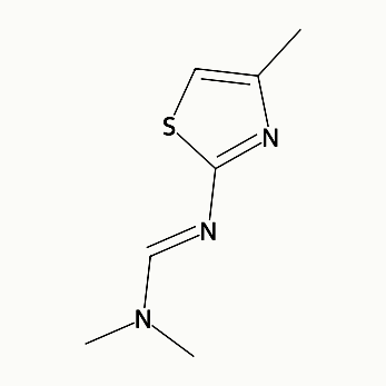 Cc1csc(/N=C/N(C)C)n1